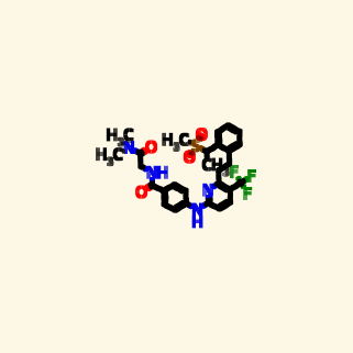 CC(c1ccccc1CCc1nc(Nc2ccc(C(=O)NCC(=O)N(C)C)cc2)ccc1C(F)(F)F)S(C)(=O)=O